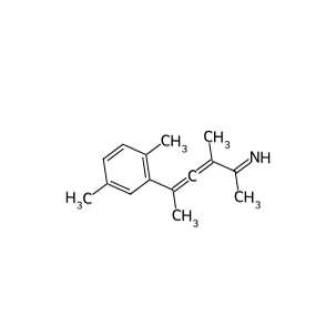 CC(=N)C(C)=C=C(C)c1cc(C)ccc1C